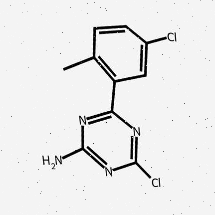 Cc1ccc(Cl)cc1-c1nc(N)nc(Cl)n1